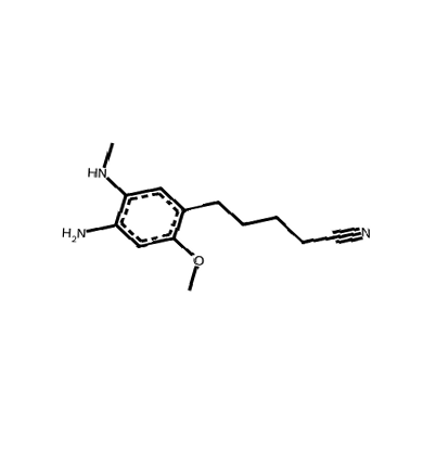 CNc1cc(CCCCC#N)c(OC)cc1N